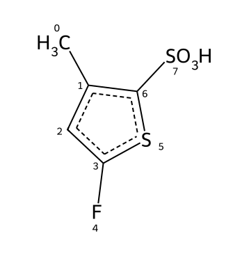 Cc1cc(F)sc1S(=O)(=O)O